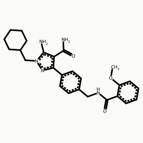 COc1ccccc1C(=O)NCc1ccc(-c2nn(CC3CCCCC3)c(N)c2C(N)=O)cc1